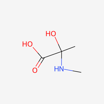 CNC(C)(O)C(=O)O